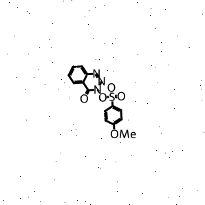 COc1ccc(S(=O)(=O)On2nnc3ccccc3c2=O)cc1